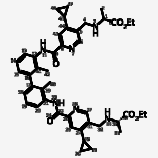 CCOC(=O)[C@H](C)NCc1cnc(C(=O)Nc2cccc(-c3cccc(NC(=O)c4cc(C5CC5)c(CN[C@@H](C)C(=O)OCC)cn4)c3C)c2C)cc1C1CC1